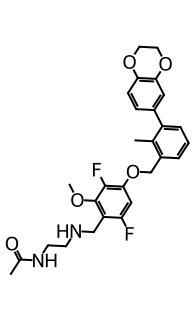 COc1c(F)c(OCc2cccc(-c3ccc4c(c3)OCCO4)c2C)cc(F)c1CNCCNC(C)=O